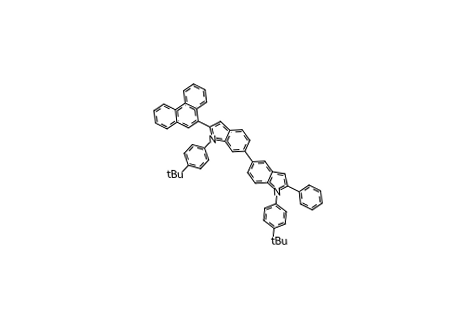 CC(C)(C)c1ccc(-n2c(-c3ccccc3)cc3cc(-c4ccc5cc(-c6cc7ccccc7c7ccccc67)n(-c6ccc(C(C)(C)C)cc6)c5c4)ccc32)cc1